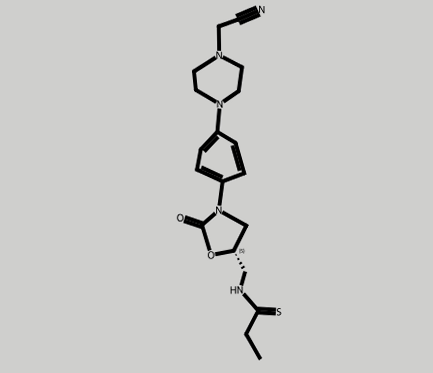 CCC(=S)NC[C@H]1CN(c2ccc(N3CCN(CC#N)CC3)cc2)C(=O)O1